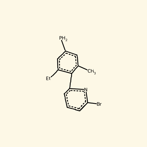 CCc1cc(P)cc(C)c1-c1cccc(Br)n1